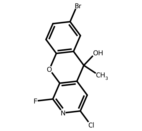 CC1(O)c2cc(Br)ccc2Oc2c1cc(Cl)nc2F